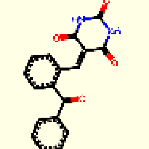 O=C1NC(=O)C(=Cc2ccccc2C(=O)c2ccccc2)C(=O)N1